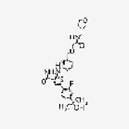 CC(C)(O)c1ccc(-c2cc(C(N)=O)c(Nc3cccc(COCC(=O)NCC4CCOC4)n3)s2)c(F)c1